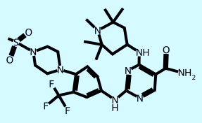 CN1C(C)(C)CC(Nc2nc(Nc3ccc(N4CCN(S(C)(=O)=O)CC4)c(C(F)(F)F)c3)ncc2C(N)=O)CC1(C)C